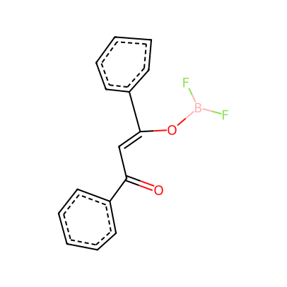 O=C(/C=C(\OB(F)F)c1ccccc1)c1ccccc1